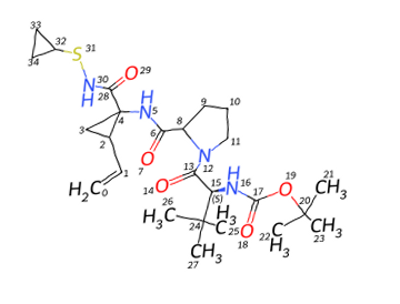 C=CC1CC1(NC(=O)C1CCCN1C(=O)[C@@H](NC(=O)OC(C)(C)C)C(C)(C)C)C(=O)NSC1CC1